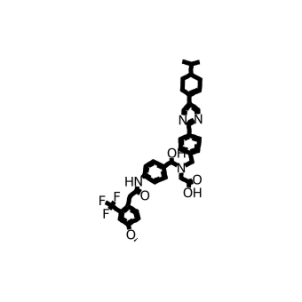 COc1ccc(CC(=O)Nc2ccc(C(O)N(CC(=O)O)Cc3ccc(-c4ncc(C5=CCC(C(C)C)CC5)cn4)cc3)cc2)c(C(F)(F)F)c1